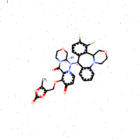 Cc1oc(=O)oc1COc1c2n(ccc1=O)N([C@@H]1c3ccccc3N3CCOCC3c3c1ccc(F)c3F)[C@@H]1COCCN1C2=O